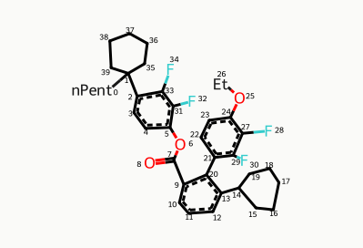 CCCCCC1(c2ccc(OC(=O)c3cccc(C4CCCCC4)c3-c3ccc(OCC)c(F)c3F)c(F)c2F)CCCCC1